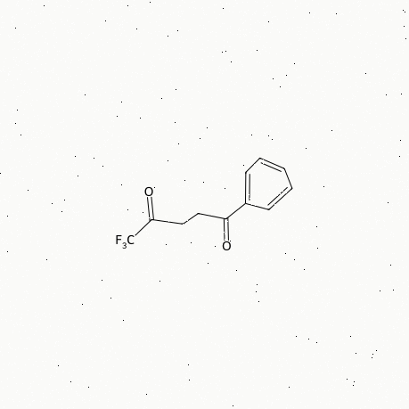 O=C(CCC(=O)C(F)(F)F)c1ccccc1